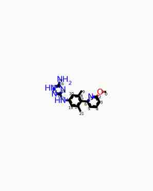 COc1cccc(-c2c(C)cc(Nc3n[nH]c(N)n3)cc2C)n1